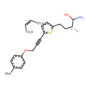 CSc1ccc(OCC#Cc2ccc(CC[C@@H](C)C(N)O)s2)cc1.O=C(O)/C=C\C(=O)O